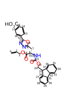 C=CCOC(=O)[C@H](Cc1nnc(-c2ccc(C(=O)O)cc2)o1)NC(=O)OCC1c2ccccc2-c2ccccc21